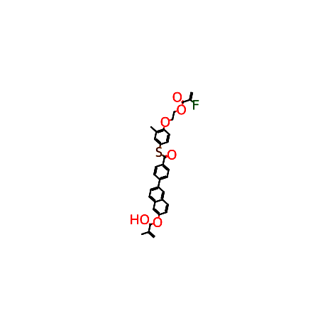 C=C(F)C(=O)OCCOc1ccc(SC(=O)c2ccc(-c3ccc4cc(OC(O)C(=C)C)ccc4c3)cc2)cc1C